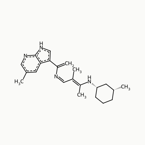 C=C(/N=C\C(C)=C(/C)N[C@H]1CCC[C@@H](C)C1)c1c[nH]c2ncc(C)cc12